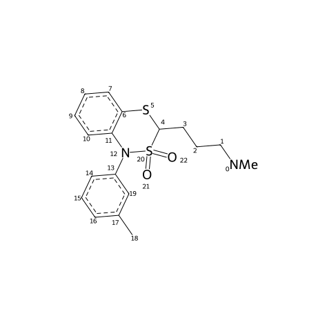 CNCCCC1Sc2ccccc2N(c2cccc(C)c2)S1(=O)=O